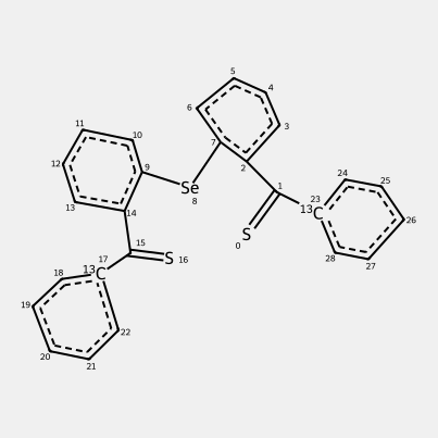 S=C(c1ccccc1[Se]c1ccccc1C(=S)[13c]1ccccc1)[13c]1ccccc1